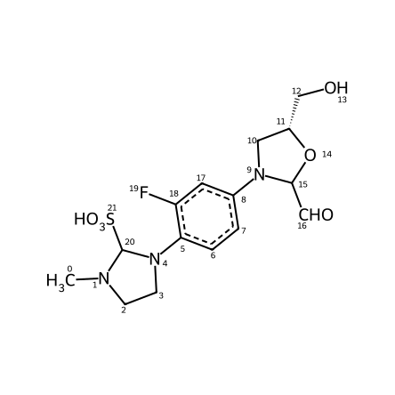 CN1CCN(c2ccc(N3C[C@H](CO)OC3C=O)cc2F)C1S(=O)(=O)O